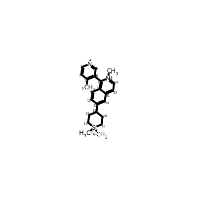 Cc1ccncc1-c1c2ccc(C3CC[Si](C)(C)CC3)cc2cc[n+]1C